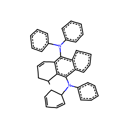 CC1CC=Cc2c1c(N(c1ccccc1)C1C=CC=CC1)c1ccccc1c2N(c1ccccc1)c1ccccc1